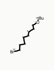 CC(C)(C)OCCCCCCCCBr